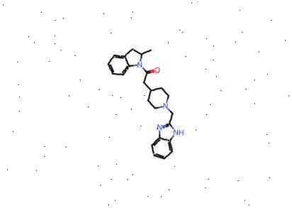 CC1Cc2ccccc2N1C(=O)CC1CCN(Cc2nc3ccccc3[nH]2)CC1